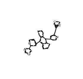 c1ccc2c(-c3ccnc(-c4cocn4)c3)c3ccccc3c(-c3ccnc(-c4cocn4)c3)c2c1